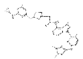 Cc1cc(OC2CCN(CC(=O)Nc3cccc4c(-c5nc(Nc6cc(C)n(C)n6)ncc5C)c[nH]c34)C2)nc(NC2CC2)n1